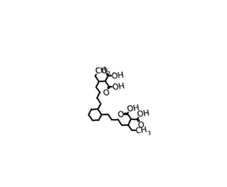 CCC(CCCCC1CCCCC1CCCCC(CC)C(C(=O)O)C(=O)O)C(C(=O)O)C(=O)O